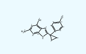 Nc1nc(S)c2nc(C3(c4ccc(Cl)cc4)CC3)sc2n1